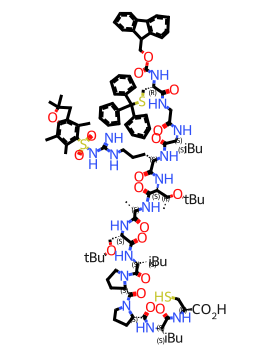 CC[C@H](C)[C@H](NC(=O)CNC(=O)[C@H](CSC(c1ccccc1)(c1ccccc1)c1ccccc1)NC(=O)OCC1c2ccccc2-c2ccccc21)C(=O)N[C@@H](CCCNC(=N)NS(=O)(=O)c1c(C)c(C)c2c(c1C)CC(C)(C)O2)C(=O)N[C@H](C(=O)N[C@@H](C)C(=O)N[C@@H](COC(C)(C)C)C(=O)N[C@H](C(=O)N1CCC[C@H]1C(=O)N1CCC[C@H]1C(=O)N[C@H](C(=O)N[C@@H](CS)C(=O)O)[C@@H](C)CC)[C@@H](C)CC)[C@@H](C)OC(C)(C)C